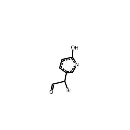 O=CC(Br)c1ccc(O)nc1